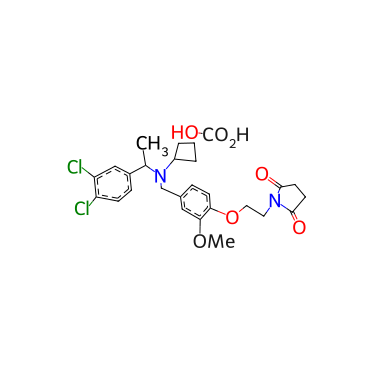 COc1cc(CN(C2CCC2)C(C)c2ccc(Cl)c(Cl)c2)ccc1OCCN1C(=O)CCC1=O.O=C(O)O